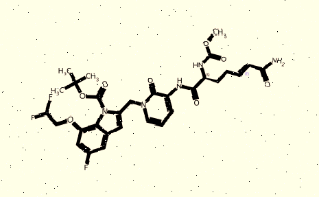 COC(=O)N[C@@H](CC/C=C/C(N)=O)C(=O)Nc1cccn(Cc2cc3cc(F)cc(OCC(F)F)c3n2C(=O)OC(C)(C)C)c1=O